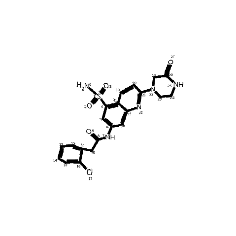 NS(=O)(=O)c1cc(NC(=O)Cc2ccccc2Cl)cc2nc(N3CCNC(=O)C3)ccc12